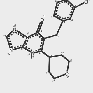 O=c1c(Cc2cccc(Cl)c2)c(C2CCOCC2)[nH]c2ncnn12